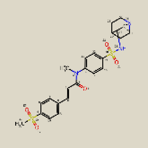 CN(C(=O)C=Cc1ccc(S(C)(=O)=O)cc1)c1ccc(S(=O)(=O)NC2CN3CCC2CC3)cc1